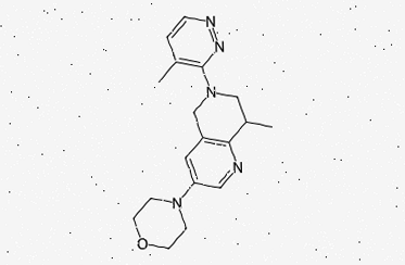 Cc1ccnnc1N1Cc2cc(N3CCOCC3)cnc2C(C)C1